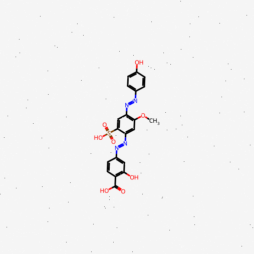 COc1cc(N=Nc2ccc(C(=O)O)c(O)c2)c(S(=O)(=O)O)cc1N=Nc1ccc(O)cc1